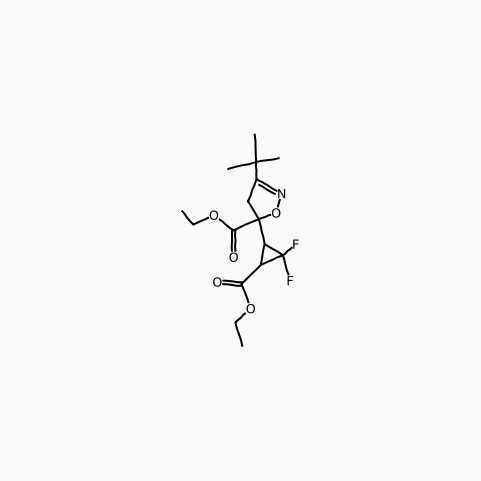 CCOC(=O)C1C(C2(C(=O)OCC)CC(C(C)(C)C)=NO2)C1(F)F